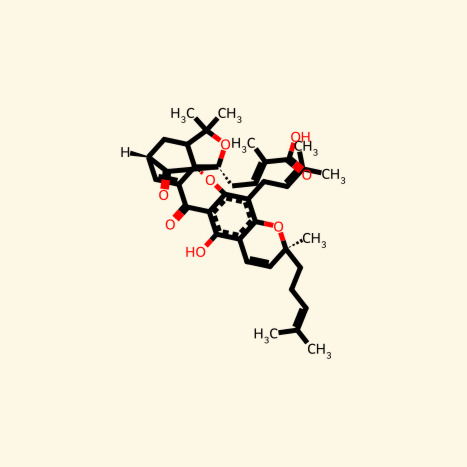 CC(C)=CCC[C@@]1(C)C=Cc2c(O)c3c(c(CC=C(C)C)c2O1)O[C@]12C(=C[C@@H]4CC1C(C)(C)O[C@@]2(C/C=C(\C)C(=O)O)C4=O)C3=O